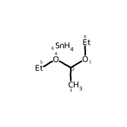 CCOC(C)OCC.[SnH4]